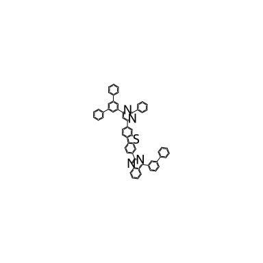 c1ccc(-c2cc(-c3ccccc3)cc(-c3cc(-c4ccc5c(c4)sc4cc(-c6nc(-c7cccc(-c8ccccc8)c7)c7ccccc7n6)ccc45)nc(-c4ccccc4)n3)c2)cc1